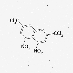 O=[N+]([O-])c1cc(C(Cl)(Cl)Cl)cc2cc(C(Cl)(Cl)Cl)cc([N+](=O)[O-])c12